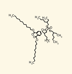 CCCCC(CC)COP(=O)(OCC(CC)CCCC)OCC(CC)CCCC.CCCCCCCCCCCOC(=O)c1ccccc1C(=O)OCCCCCCCCCCC